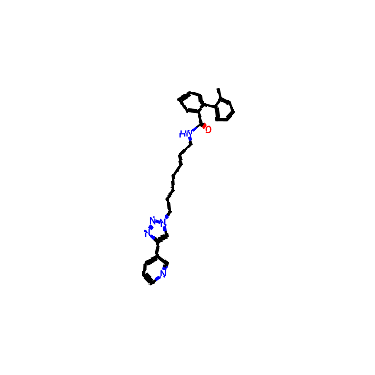 Cc1ccccc1-c1ccccc1C(=O)NCCCCCCCn1cc(-c2cccnc2)nn1